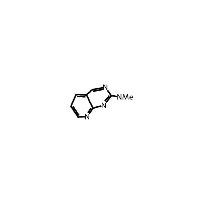 CNc1ncc2cccnc2n1